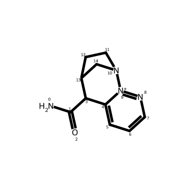 NC(=O)C1c2cccn[n+]2N2CCC1C2